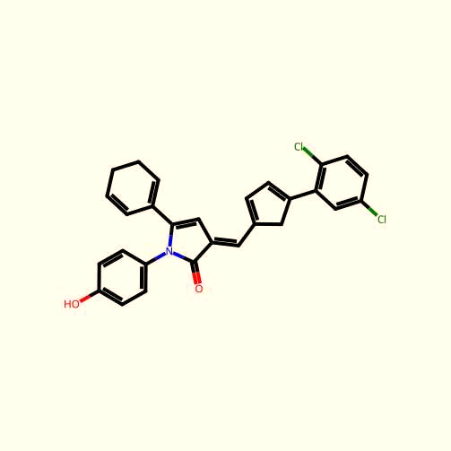 O=C1/C(=C/C2=CC=C(c3cc(Cl)ccc3Cl)C2)C=C(C2=CCCC=C2)N1c1ccc(O)cc1